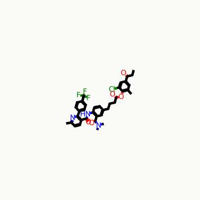 CCC(=O)c1cc(C)c(OC(=O)CCCc2ccc(NC(=O)c3ccc(C)nc3-c3ccc(C(F)(F)F)cc3)c(C(=O)N(C)C)c2)c(Cl)c1